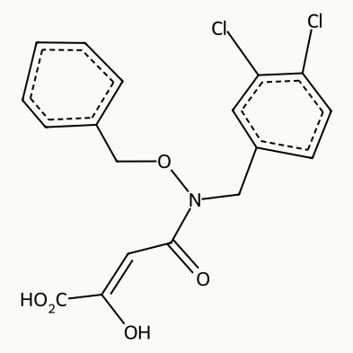 O=C(O)/C(O)=C/C(=O)N(Cc1ccc(Cl)c(Cl)c1)OCc1ccccc1